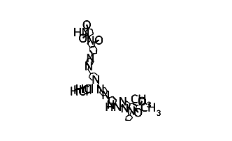 CC(=O)c1c(C)c2cnc(Nc3ccc(N4CCN(CCN5CCC(CN6CCN(c7ccc8c(c7)CN(C7CCC(=O)NC7=O)C8=O)CC6)CC5)CC4)cn3)nc2n(C2CCCC2)c1=O.Cl.Cl.Cl